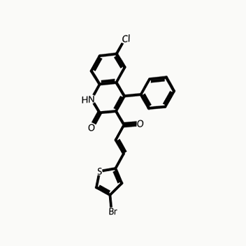 O=C(C=Cc1cc(Br)cs1)c1c(-c2ccccc2)c2cc(Cl)ccc2[nH]c1=O